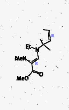 C/C=C\C(C)(C)N(/C=C(\NC)C(=O)OC)CC